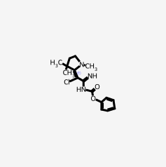 CN1CCC(C)(C)/C1=C(\Cl)C(=N)NC(=O)Oc1ccccc1